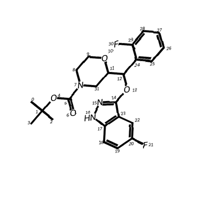 CC(C)(C)OC(=O)N1CCOC(C(Oc2n[nH]c3ccc(F)cc23)c2ccccc2F)C1